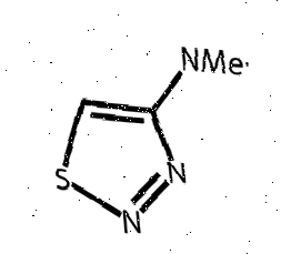 C[N]c1csnn1